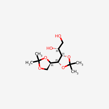 CC1(C)O[C@@H]([C@H](O)CO)[C@@H]([C@H]2COC(C)(C)O2)O1